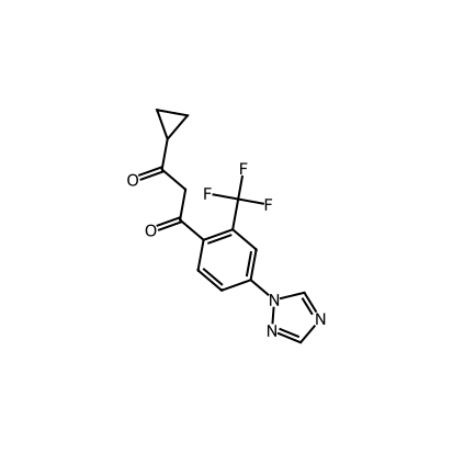 O=C(CC(=O)C1CC1)c1ccc(-n2cncn2)cc1C(F)(F)F